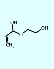 C=CC(O)OCCO